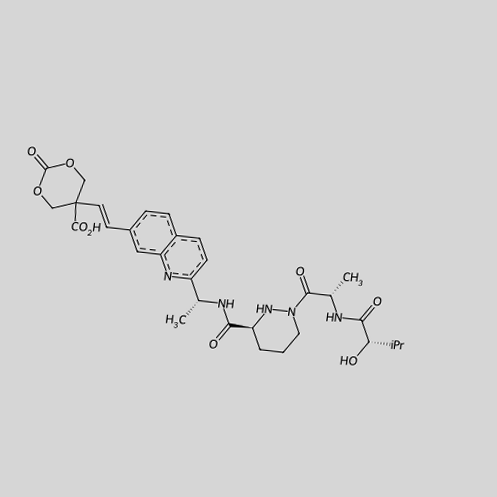 CC(C)[C@H](O)C(=O)N[C@@H](C)C(=O)N1CCC[C@@H](C(=O)N[C@H](C)c2ccc3ccc(/C=C/C4(C(=O)O)COC(=O)OC4)cc3n2)N1